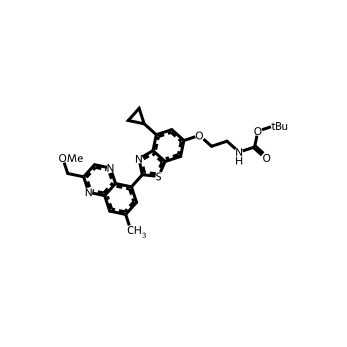 COCc1cnc2c(-c3nc4c(C5CC5)cc(OCCNC(=O)OC(C)(C)C)cc4s3)cc(C)cc2n1